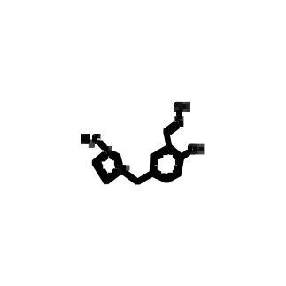 Cn1cc[n+](Cc2ccc(O)c(C=NO)c2)c1